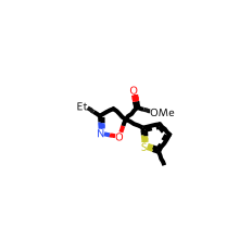 CCC1=NOC(C(=O)OC)(c2ccc(C)s2)C1